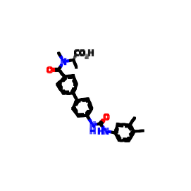 Cc1ccc(NC(=O)Nc2ccc(-c3ccc(C(=O)N(C)[C@@H](C)C(=O)O)cc3)cc2)cc1C